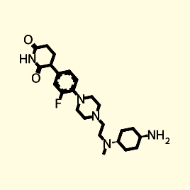 CN(CCN1CCN(c2ccc(C3CCC(=O)NC3=O)cc2F)CC1)[C@H]1CC[C@H](N)CC1